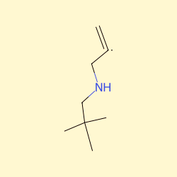 C=[C]CNCC(C)(C)C